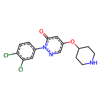 O=c1cc(OC2CCNCC2)cnn1-c1ccc(Cl)c(Cl)c1